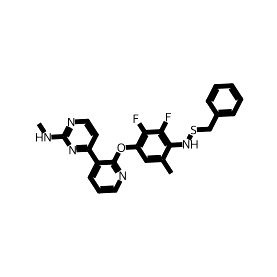 CNc1nccc(-c2cccnc2Oc2cc(C)c(NSCc3ccccc3)c(F)c2F)n1